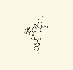 CNC(=O)c1c(-c2ccc(F)cc2)oc2cc(N(C)S(C)(=O)=O)c([C@H]3CCCN(C(=O)c4nc5ccc(F)cc5s4)C3)cc12